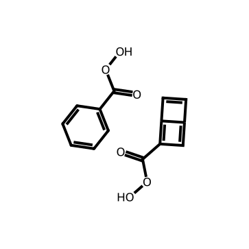 O=C(OO)c1cc2ccc1-2.O=C(OO)c1ccccc1